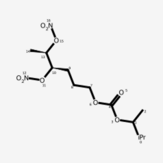 CC(C)C(C)OC(=O)OCCC[C@@H](O[N+](=O)[O-])[C@@H](C)O[N+](=O)[O-]